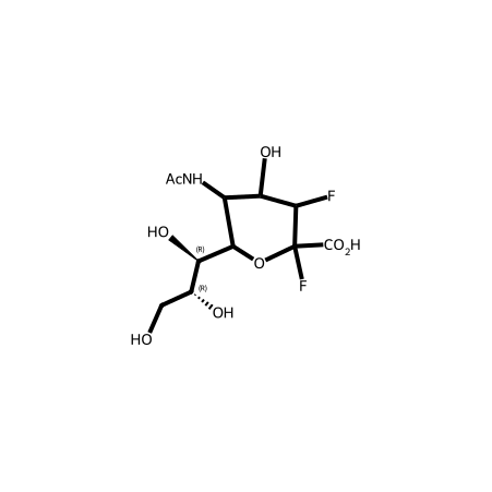 CC(=O)NC1C(O)C(F)C(F)(C(=O)O)OC1[C@H](O)[C@H](O)CO